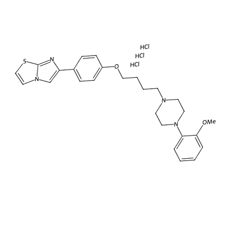 COc1ccccc1N1CCN(CCCCOc2ccc(-c3cn4ccsc4n3)cc2)CC1.Cl.Cl.Cl